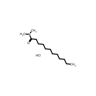 CCCCCCCCCCCC(=O)N(C)C.Cl